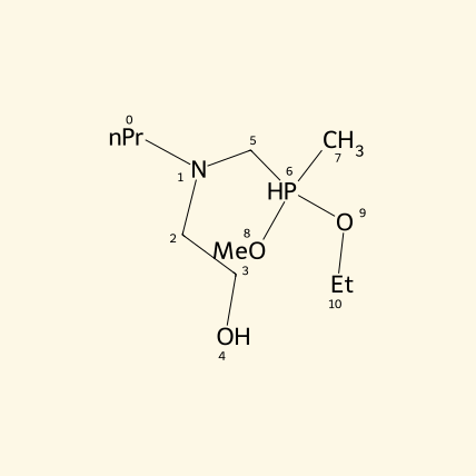 CCCN(CCO)C[PH](C)(OC)OCC